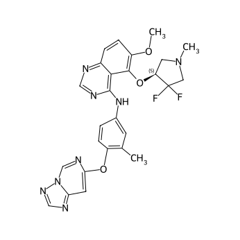 COc1ccc2ncnc(Nc3ccc(Oc4cc5ncnn5cn4)c(C)c3)c2c1O[C@H]1CN(C)CC1(F)F